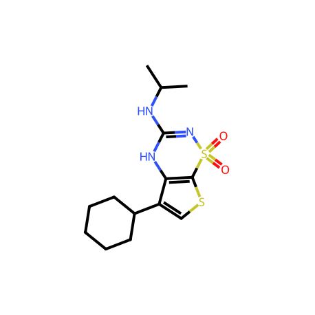 CC(C)NC1=NS(=O)(=O)c2scc(C3CCCCC3)c2N1